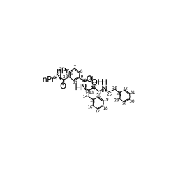 CCCN(CCC)C(=O)c1cccc(C(=O)N[C@@H](Cc2ccccc2)[C@H](O)CNCCc2ccccc2)c1